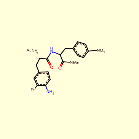 CCc1cc(C[C@H](NC(C)=O)C(=O)NC(Cc2ccc([N+](=O)[O-])cc2)C(=O)NC)ccc1N